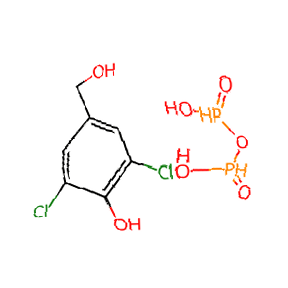 O=[PH](O)O[PH](=O)O.OCc1cc(Cl)c(O)c(Cl)c1